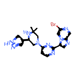 CC1(C)CN(c2ccnc(-c3cnc4cnc(Br)cn34)n2)CC(c2cn[nH]c2)N1